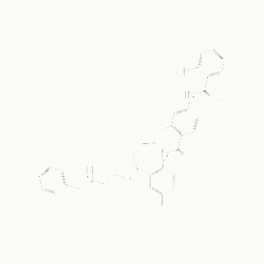 COc1cc(NC(=O)c2ccccc2Cl)ccc1C(=O)N1CCCC(OCCNCc2ccccc2)c2cc(Cl)ccc21